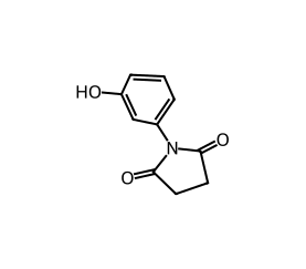 O=C1CCC(=O)N1c1cccc(O)c1